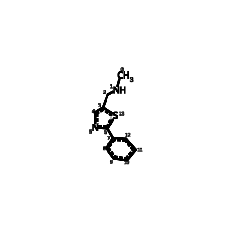 CNCc1cnc(-c2ccccc2)s1